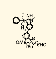 COc1ncc(-c2ccc3nc(N)n(C(C)(C)c4ccccc4)c3c2)cc1S(=O)(=O)N(OC=O)C(C)(C)C